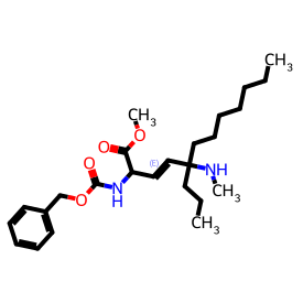 CCCCCCCC(/C=C/C(NC(=O)OCc1ccccc1)C(=O)OC)(CCC)NC